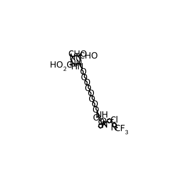 CN(C(=O)c1ccc(Cl)c(-c2ccc(C(F)(F)F)nc2)c1)c1ccccc1OCCC(=O)NCCOCCOCCOCCOCCOCCOCCOCCOCCNCN1CCN(CC=O)CCN(CC=O)CCN(CC(=O)O)CC1